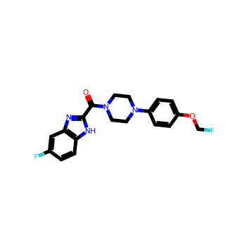 O=C(c1nc2cc(F)ccc2[nH]1)N1CCN(c2ccc(OCF)cc2)CC1